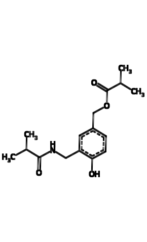 CC(C)C(=O)NCc1cc(COC(=O)C(C)C)ccc1O